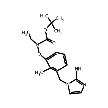 CCN(Oc1cccc(Cn2ccnc2N)c1C)C(=O)OC(C)(C)C